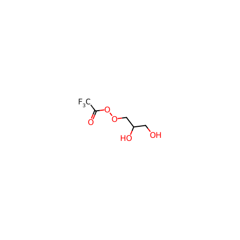 O=C(OOCC(O)CO)C(F)(F)F